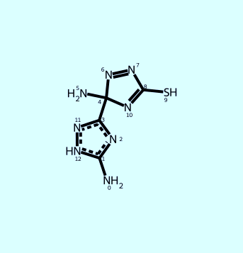 Nc1nc(C2(N)N=NC(S)=N2)n[nH]1